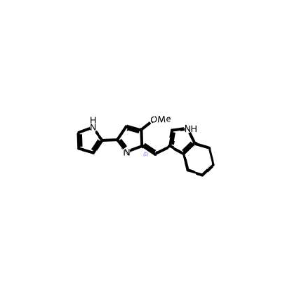 COC1=CC(c2ccc[nH]2)=N/C1=C/c1c[nH]c2c1CCCC2